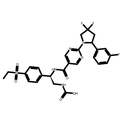 CCS(=O)(=O)c1ccc([C@H](CNC(=O)O)NC(=O)c2cnc(N3CC(F)(F)CC3c3cccc(F)c3)nc2)cc1